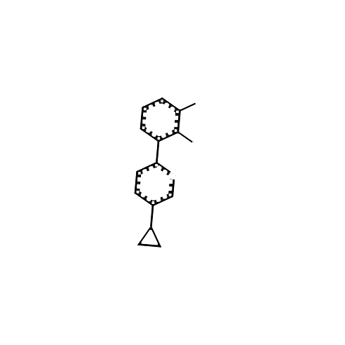 Fc1c(-c2ccc(C3CC3)cn2)cccc1C(F)(F)F